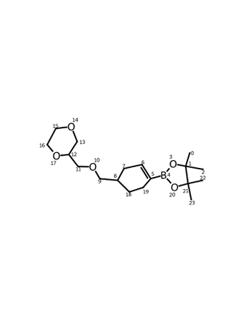 CC1(C)OB(C2=CCC(COCC3COCCO3)CC2)OC1(C)C